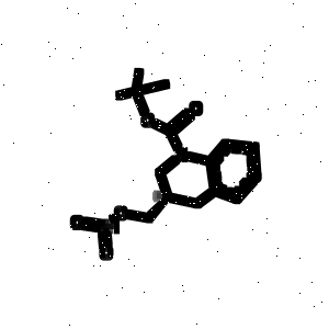 CC(C)(C)OC(=O)N1C[C@H](CO[SH](=O)=O)Cc2ccccc21